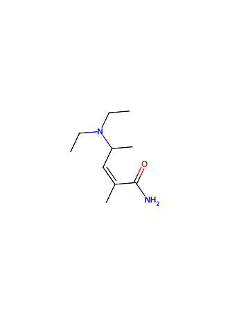 CCN(CC)C(C)C=C(C)C(N)=O